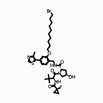 Cc1ncsc1-c1ccc(CNC(=O)[C@@H]2C[C@@H](O)CN2C(=O)[C@@H](NC(=O)C2(F)CC2)C(C)(C)C)c(OCCCCCCCCCCBr)c1